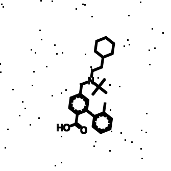 Cc1ccccc1-c1cc(CN(CCC2CCCCC2)C(C)(C)C)ccc1C(=O)O